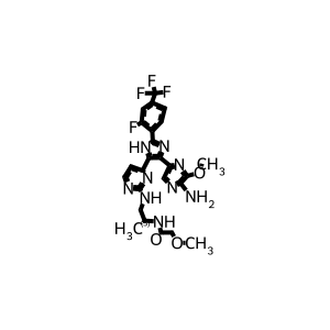 COCC(=O)N[C@@H](C)CNc1nccc(-c2[nH]c(-c3ccc(C(F)(F)F)cc3F)nc2-c2cnc(N)c(OC)n2)n1